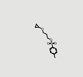 Cc1ccc(S(=O)(=O)OCCCOC2CC2)cc1